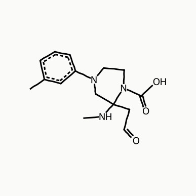 CNC1(CC=O)CN(c2cccc(C)c2)CCN1C(=O)O